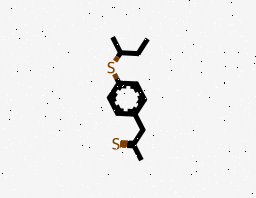 CCC(C)Sc1ccc(CC(C)=S)cc1